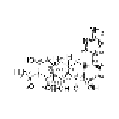 NC(=O)C1C(=O)[C@@]2(O)C(O)=C3C(=O)c4c(O)ccc(-c5cnc(N)nc5)c4C[C@H]3C[C@H]2CC1O